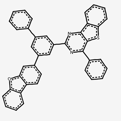 c1ccc(-c2cc(-c3ccc4c(c3)oc3ccccc34)cc(-c3nc(-c4ccccc4)c4sc5ccccc5c4n3)c2)cc1